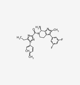 C=C/C=C\C(=C/C)n1nc(C(=O)N2CCc3c(nn(C)c3-c3cc(F)cc(F)c3)[C@@H]2N)nc1CC